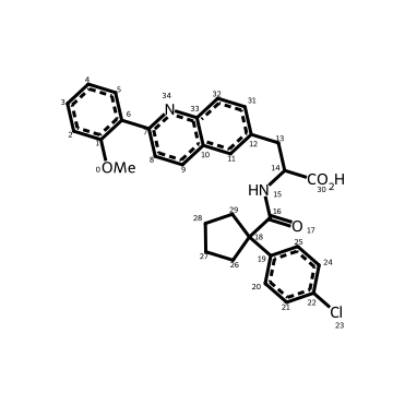 COc1ccccc1-c1ccc2cc(CC(NC(=O)C3(c4ccc(Cl)cc4)CCCC3)C(=O)O)ccc2n1